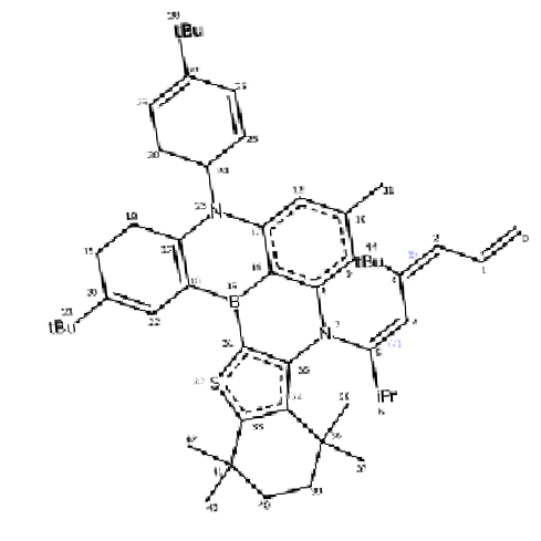 C=C/C=C(\C=C(\C(C)C)N1c2cc(C)cc3c2B(C2=C(CCC(C(C)(C)C)=C2)N3C2C=CC(C(C)(C)C)=CC2)c2sc3c(c21)C(C)(C)CCC3(C)C)C(C)(C)C